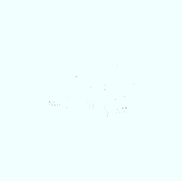 CNC1(C)CCCCCC1(C)c1cccc(OC)c1